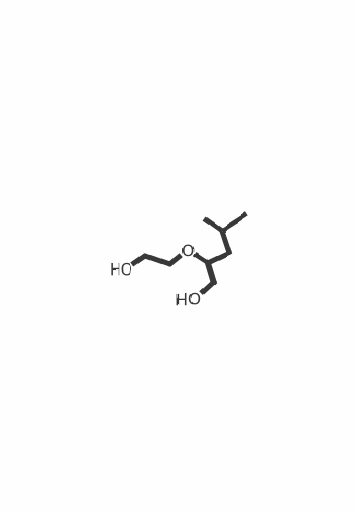 CC(C)CC(CO)OCCO